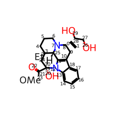 C=C.CC[C@]12CCCN3CCc4c(n(c5ccccc45)[C@@](O)(C(=O)OC)C1)[C@@H]32.OCCO